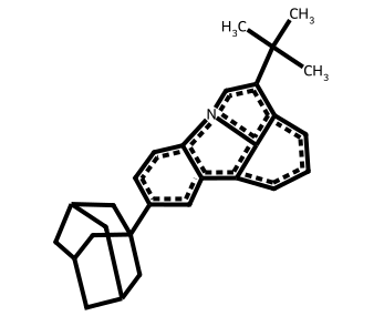 CC(C)(C)c1cn2c3ccc(C45CC6CC(CC(C6)C4)C5)cc3c3cccc1c32